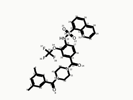 Cc1cc(C)cc(C(=O)N2CCN(C(=O)c3ccc(NS(=O)(=O)c4cccc5cccnc45)c(OC(F)(F)F)c3)CC2)c1